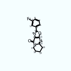 O=c1c2nc(-c3cccc(F)c3)oc2nc2n1CCCC2